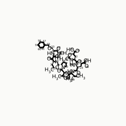 CCC[C@H](NC(=O)[C@@H]1CCCN1C(=O)[C@@H](NC(=O)[C@@H](NC(=O)[C@H](CCC(=O)O)NC(=O)[C@H](CCC(=O)O)NC(C)=O)C(C)C)C(C)C)C(=O)C(=O)N[C@@H](COCc1ccccc1)C(=O)NC